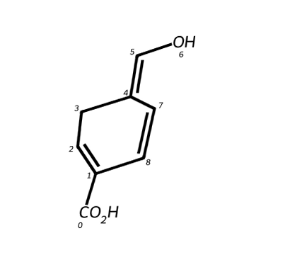 O=C(O)C1=CCC(=CO)C=C1